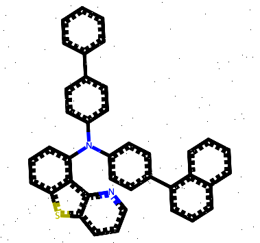 c1ccc(-c2ccc(N(c3ccc(-c4cccc5ccccc45)cc3)c3cccc4sc5cccnc5c34)cc2)cc1